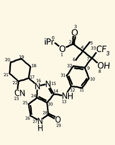 CC(C)OC(=O)C(C)(C)C(O)(c1ccc(Nc2nn(C3CCCCC3C#N)c3cc[nH]c(=O)c23)cc1)C(F)(F)F